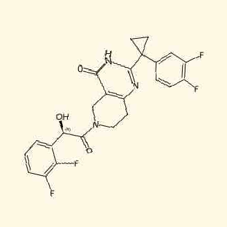 O=C([C@H](O)c1cccc(F)c1F)N1CCc2nc(C3(c4ccc(F)c(F)c4)CC3)[nH]c(=O)c2C1